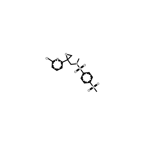 CN(CC1(c2cccc(Cl)n2)CO1)S(=O)(=O)c1ccc(S(C)(=O)=O)cc1